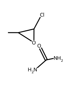 CC1OC1Cl.NC(N)=O